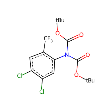 CC(C)(C)OC(=O)N(C(=O)OC(C)(C)C)c1cc(Cl)c(Cl)cc1C(F)(F)F